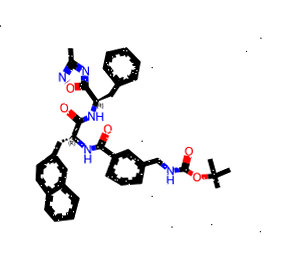 Cc1noc([C@@H](Cc2ccccc2)NC(=O)[C@@H](Cc2ccc3ccccc3c2)NC(=O)c2cccc(CNC(=O)OC(C)(C)C)c2)n1